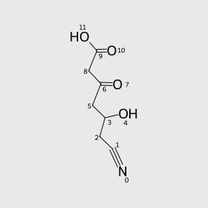 N#CCC(O)CC(=O)CC(=O)O